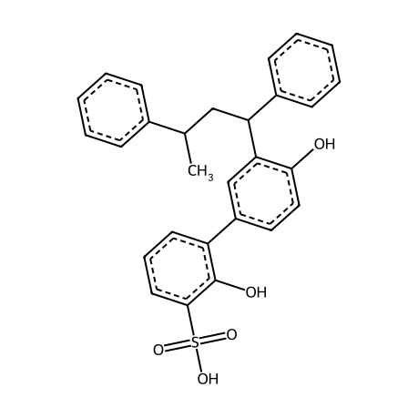 CC(CC(c1ccccc1)c1cc(-c2cccc(S(=O)(=O)O)c2O)ccc1O)c1ccccc1